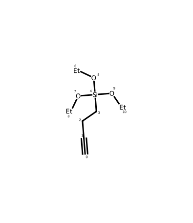 C#CCC[Si](OCC)(OCC)OCC